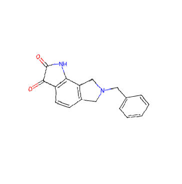 O=C1Nc2c(ccc3c2CN(Cc2ccccc2)C3)C1=O